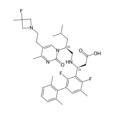 Cc1cc(-c2c(C)cccc2C)c(F)c([C@H](CC(=O)O)NC[C@H](CC(C)C)n2cc(CCN3CC(C)(F)C3)c(C)nc2=O)c1F